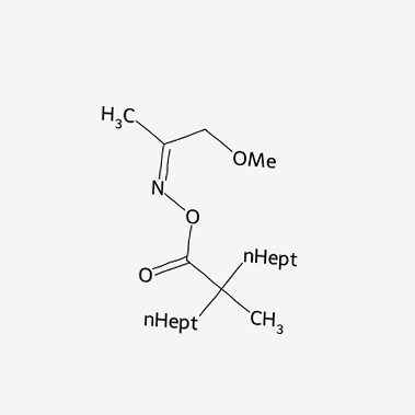 CCCCCCCC(C)(CCCCCCC)C(=O)O/N=C(/C)COC